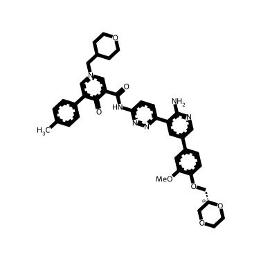 COc1cc(-c2cnc(N)c(-c3ccc(NC(=O)c4cn(CC5CCOCC5)cc(-c5ccc(C)cc5)c4=O)nn3)c2)ccc1OC[C@H]1COCCO1